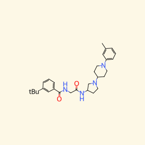 Cc1cccc(N2CCC(N3CCC(NC(=O)CNC(=O)c4cccc(C(C)(C)C)c4)C3)CC2)c1